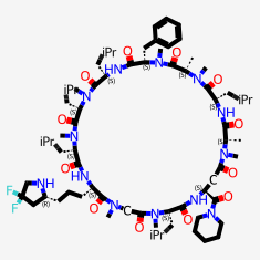 CC(C)C[C@@H]1NC(=O)[C@H](C)N(C)C(=O)C[C@@H](C(=O)N2CCCCC2)NC(=O)[C@H](CC(C)C)N(C)C(=O)CN(C)C(=O)[C@H](CCC[C@@H]2CC(F)(F)CN2)NC(=O)[C@H](CC(C)C)N(C)C(=O)[C@H](CC(C)C)N(C)C(=O)[C@H](CC(C)C)NC(=O)[C@H](Cc2ccccc2)N(C)C(=O)[C@H](C)N(C)C1=O